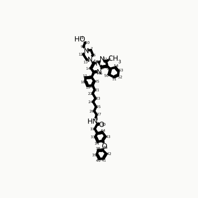 Cc1nn2c(N3CCN(CCO)CC3)cc(-c3cccc(CCCCCCCNC(=O)Cc4ccc(Oc5ccccc5)cc4)c3)nc2c1-c1ccccc1